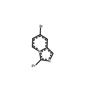 CC(C)c1ncc2cc(Br)ccn12